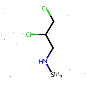 [SiH3]NCC(Cl)CCl